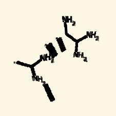 NCC(N)N.[CH2]C(N)N.[CH]=C.[CH]=C.[CH]=C